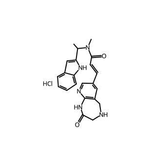 CC(c1cc2ccccc2[nH]1)N(C)C(=O)/C=C/c1cnc2c(c1)CNCC(=O)N2.Cl